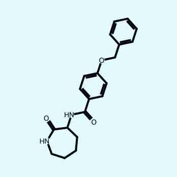 O=C(NC1CCCCNC1=O)c1ccc(OCc2ccccc2)cc1